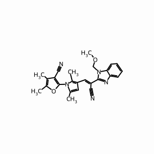 COCn1c(/C(C#N)=C/c2cc(C)n(-c3oc(C)c(C)c3C#N)c2C)nc2ccccc21